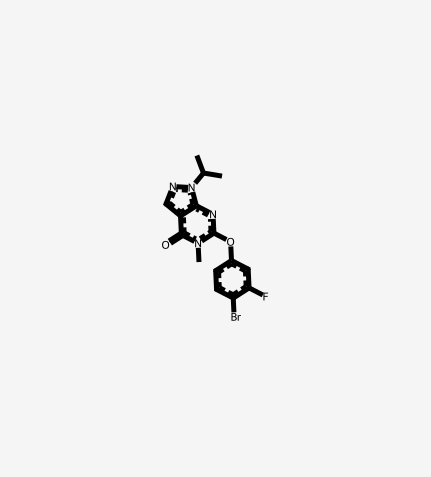 CC(C)n1ncc2c(=O)n(C)c(Oc3ccc(Br)c(F)c3)nc21